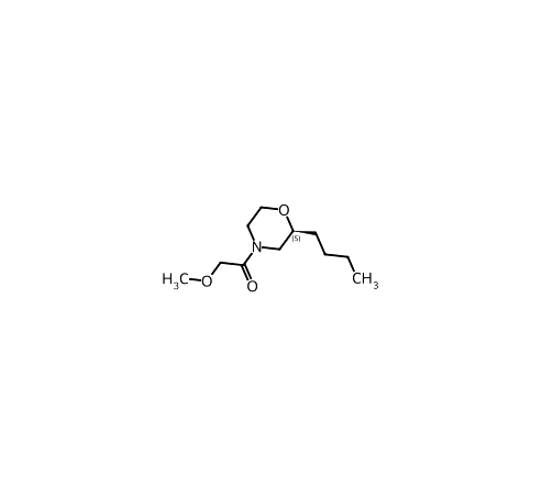 CCCC[C@H]1CN(C(=O)COC)CCO1